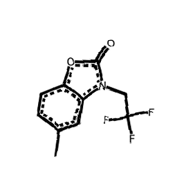 Cc1ccc2oc(=O)n(CC(F)(F)F)c2c1